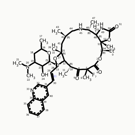 CC[C@H]1OC(=O)C(C)(F)C(=O)[C@H](C)C(O[C@@H]2OC(C)CC(N(C)C)C2O)[C@](C)(OC/C=C/c2cnc3ccccc3c2)C[C@@H](C)CN[C@H](C)[C@H]2NC(=O)O[C@@]21C